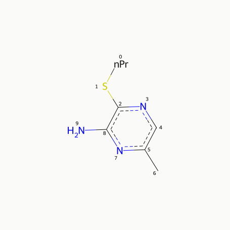 CCCSc1ncc(C)nc1N